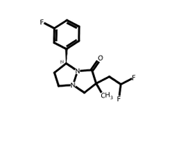 CC1(CC(F)F)CN2CC[C@@H](c3cccc(F)c3)N2C1=O